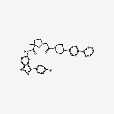 CC1(C(=O)Nc2ccc3[nH]nc(-c4ccc(F)cc4)c3c2)CCN(CC(=O)N2CCC(c3ccc(-c4ncccn4)cc3)CC2)C1